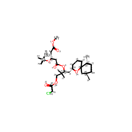 CC(C)OC(=O)C[C@@H](CC(=O)O[C@@H](C[C@@H]1CCCC2(C[C@H](C)CC[C@H]2C(C)C)O1)C(C)(C)COC(=O)CCl)O[Si](C)(C)C(C)(C)C